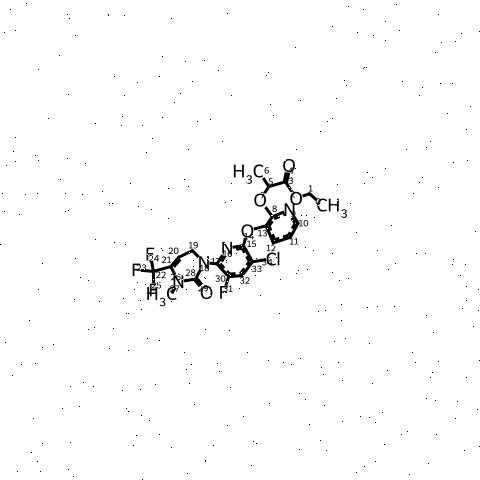 CCOC(=O)C(C)Oc1ncccc1Oc1nc(N2CC=C(C(F)(F)F)N(C)C2=O)c(F)cc1Cl